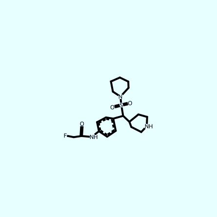 O=C(CF)Nc1ccc(C(C2CCNCC2)S(=O)(=O)N2CCCCC2)cc1